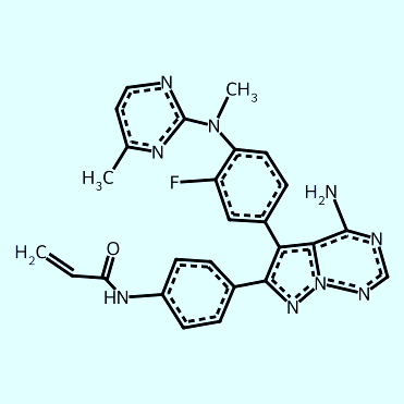 C=CC(=O)Nc1ccc(-c2nn3ncnc(N)c3c2-c2ccc(N(C)c3nccc(C)n3)c(F)c2)cc1